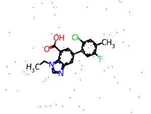 CCn1cnc2cc(-c3cc(F)c(C)cc3Cl)cc(C(=O)O)c21